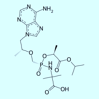 CC(C)OC(=O)[C@H](C)O[P@@](=O)(CO[C@H](C)Cn1cnc2c(N)ncnc21)NC(C)(C)C(=O)O